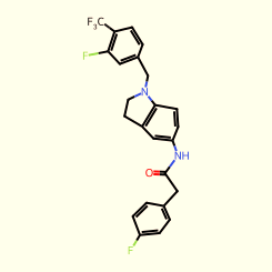 O=C(Cc1ccc(F)cc1)Nc1ccc2c(c1)CCN2Cc1ccc(C(F)(F)F)c(F)c1